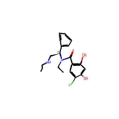 CCNC[C@@H](c1ccccc1)N(CC)C(=O)c1cc(Cl)c(O)cc1O